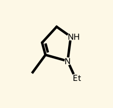 CCN1NCC=C1C